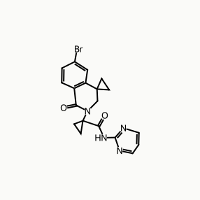 O=C1c2ccc(Br)cc2C2(CC2)CN1C1(C(=O)Nc2ncccn2)CC1